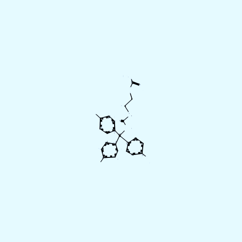 Cc1ccc(C(OC(=O)NCCOC(=O)C(C)(C)C)(c2ccc(C)cc2)c2ccc(C)cc2)cc1